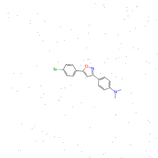 CN(C)c1ccc(-c2cc(-c3ccc(Br)cc3)on2)cc1